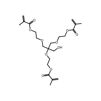 C=C(C)C(=O)OCCOCC(CO)(COCCOC(=O)C(=C)C)OCCOC(=O)C(=C)C